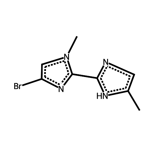 Cc1cnc(-c2nc(Br)cn2C)[nH]1